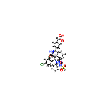 CS(=O)(=O)N[C@H]1CCCC[C@@H]1N1C(=O)c2cccc3c2[C@@H](C(=O)NC3c2ccc(CC(=O)O)cc2)[C@@H]1c1ccc(Cl)cc1Cl